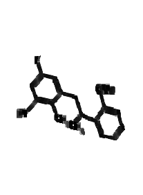 COc1ccccc1C(C)Cc1cc(F)cc(C(C)C)c1C